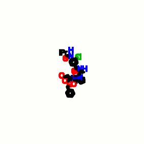 CC(C)C(=O)Nc1ccc(C(=O)N[C@@H](C)C(=O)N2CCC[C@H]2C(=O)N[C@H]2CC(=O)OC2OCc2ccccc2)cc1Cl